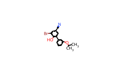 CC(C)Oc1cccc(-c2cc(C#N)cc(Br)c2O)c1